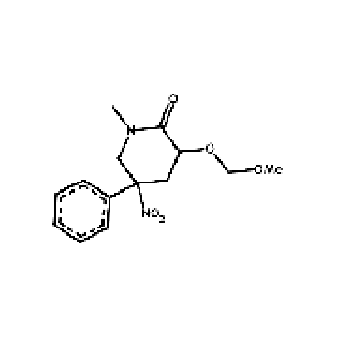 COCOC1CC(c2ccccc2)([N+](=O)[O-])CN(C)C1=O